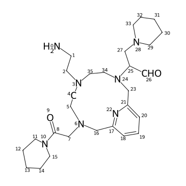 NCCN1CCN(CC(=O)N2CCCCC2)Cc2cccc(n2)CN(C(C=O)CN2CCCCC2)CC1